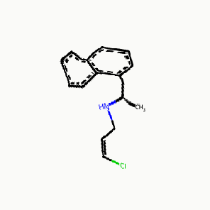 C[C@@H](NC/C=C\Cl)c1cccc2ccccc12